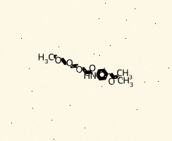 CCOCCOCCOCCC(=O)N[C@H]1CC[C@H](CC(=O)C(C)C)CC1